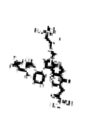 CN(C)C(=O)CN1CN([C@H]2CC[C@H](CN(CC(F)(F)F)C(=O)O)CC2)c2c(cnc3c2ccn3COCC[Si](C)(C)C)C1=O